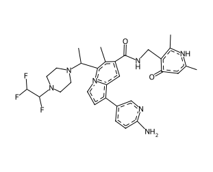 Cc1cc(=O)c(CNC(=O)c2cc3c(-c4ccc(N)nc4)ccn3c(C(C)N3CCN(C(F)C(F)F)CC3)c2C)c(C)[nH]1